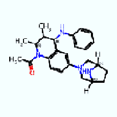 CC(=O)N1c2ccc(N3C[C@H]4CC[C@@H](C3)N4)cc2[C@H](Nc2ccccc2)C(C)[C@@H]1C